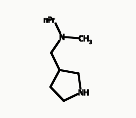 CCCN(C)CC1CCNC1